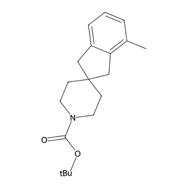 Cc1cccc2c1CC1(CCN(C(=O)OC(C)(C)C)CC1)C2